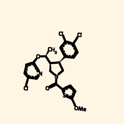 COc1ccc(C(=O)N2C[C@@H]([C@@H](C)Oc3ccc(Cl)cn3)[C@H](c3ccc(Cl)c(Cl)c3)C2)s1